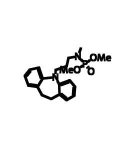 COP(=O)(OC)N(C)CCCN1c2ccccc2CCc2ccccc21